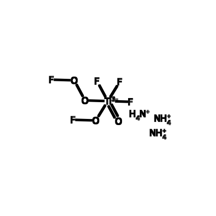 [NH4+].[NH4+].[NH4+].[O]=[Ti-3]([F])([F])([F])([O]F)[O]OF